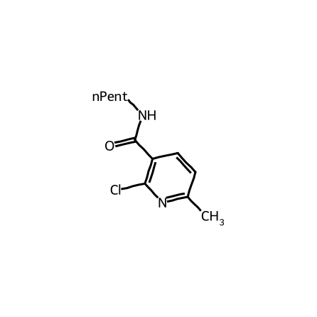 CCCCCNC(=O)c1ccc(C)nc1Cl